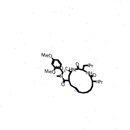 CCCC1CCCC/C=C/CC(C(=O)N(C)Cc2ccc(OC)cc2OC)CC(C(=O)O)NC(=O)C(CC(C)C)NC1=O